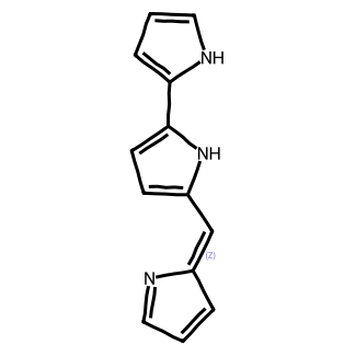 C1=C/C(=C/c2ccc(-c3ccc[nH]3)[nH]2)N=C1